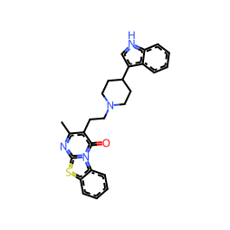 Cc1nc2sc3ccccc3n2c(=O)c1CCN1CCC(c2c[nH]c3ccccc23)CC1